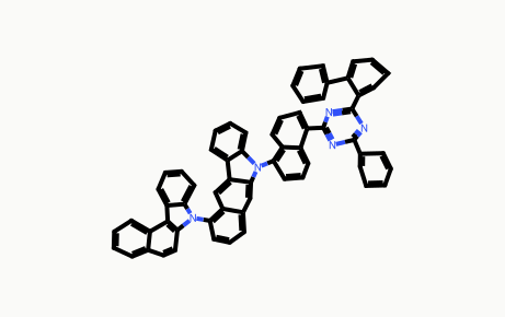 c1ccc(-c2nc(-c3ccccc3-c3ccccc3)nc(-c3cccc4c(-n5c6ccccc6c6cc7c(-n8c9ccccc9c9c%10ccccc%10ccc98)cccc7cc65)cccc34)n2)cc1